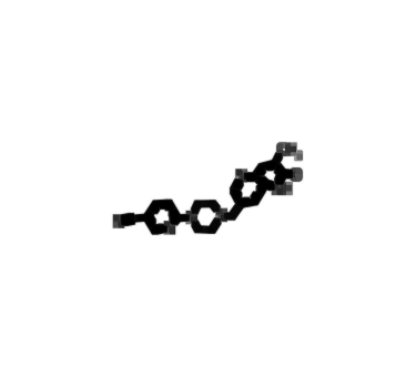 Cc1cc2ncc(CN3CCN(c4ccc(C#N)cn4)CC3)cc2[nH]c1=O